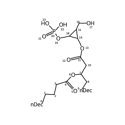 CCCCCCCCCCCCCC(=O)OC(CCCCCCCCCCC)CC(=O)OC1C(CO)C1OP(=O)(O)O